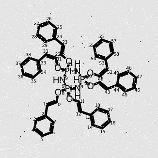 C(=Cc1ccccc1)O[PH]1(OC=Cc2ccccc2)N[PH](OC=Cc2ccccc2)(OC=Cc2ccccc2)N[PH](OC=Cc2ccccc2)(OC=Cc2ccccc2)N1